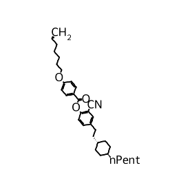 C=CCCCCCOc1ccc(C(=O)Oc2ccc(CC[C@H]3CC[C@H](CCCCC)CC3)cc2C#N)cc1